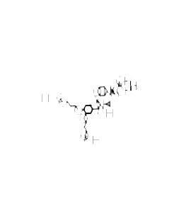 COCCCOc1ccc([C@@H](C)N(C(=O)[C@H]2CN(C(=O)OC(C)(C)C)CCO2)C2CC2)cc1OCCCOC